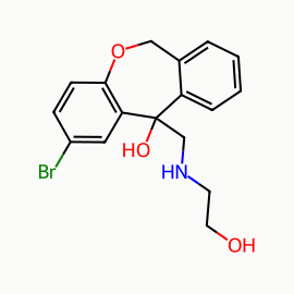 OCCNCC1(O)c2ccccc2COc2ccc(Br)cc21